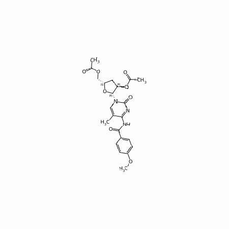 COc1ccc(C(=O)Nc2nc(=O)n([C@@H]3O[C@H](COC(C)=O)C[C@H]3OC(C)=O)cc2C)cc1